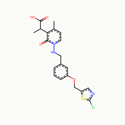 Cc1ccn(NCc2cccc(OCc3cnc(Cl)s3)c2)c(=O)c1C(C)C(=O)O